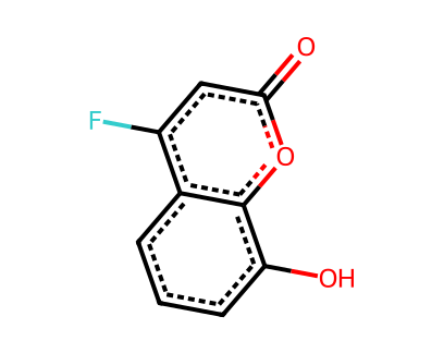 O=c1cc(F)c2cccc(O)c2o1